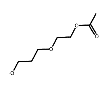 CC(=O)OCCOCCC[O]